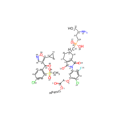 CCCCCOC(=O)COc1cc(N2C(=O)C3=C(CCCC3)C2=O)c(F)cc1Cl.CP(=O)(O)CCC(N)C(=O)O.CS(=O)(=O)c1cc(Cl)ccc1C(=O)c1cnoc1C1CC1